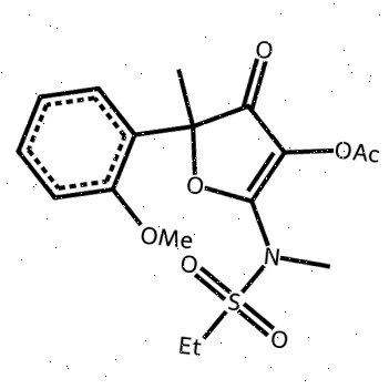 CCS(=O)(=O)N(C)C1=C(OC(C)=O)C(=O)C(C)(c2ccccc2OC)O1